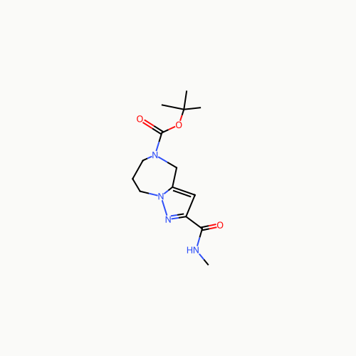 CNC(=O)c1cc2n(n1)CCCN(C(=O)OC(C)(C)C)C2